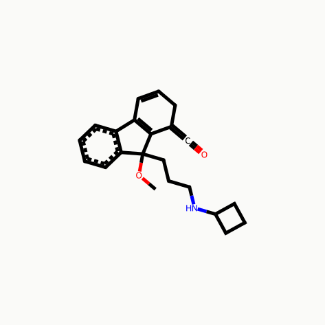 COC1(CCCNC2CCC2)C2=C(C=CCC2=C=O)c2ccccc21